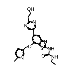 CCNC(=O)Nc1nc2cc(-c3cnc(CCO)nc3)cc(OCc3ccc(C)nc3)c2s1